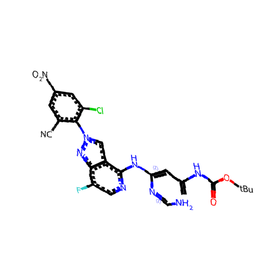 C=C(/C=C(\N=C/N)Nc1ncc(F)c2nn(-c3c(Cl)cc([N+](=O)[O-])cc3C#N)cc12)NC(=O)OC(C)(C)C